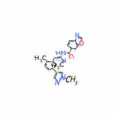 C=N/C(=C\c1cc(-c2cnn(C)c2)ccc1C)NC(=O)c1ccc2ncoc2c1